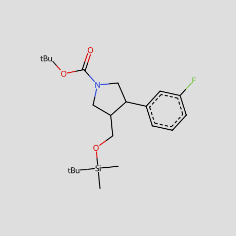 CC(C)(C)OC(=O)N1CC(CO[Si](C)(C)C(C)(C)C)C(c2cccc(F)c2)C1